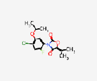 CC(C)=C1OC(=O)N(c2cc(OC(C)C)c(Cl)cc2F)C1=O